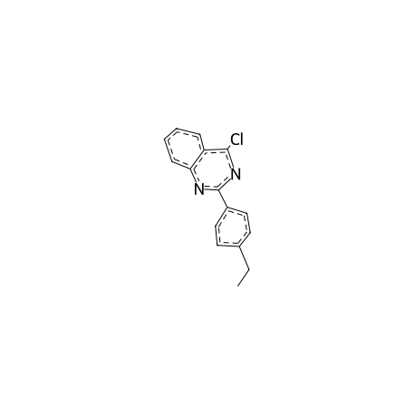 CCc1ccc(-c2nc(Cl)c3ccccc3n2)cc1